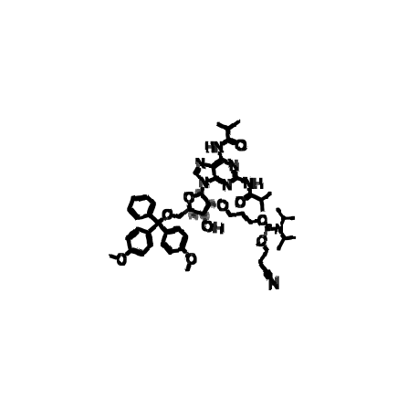 COc1ccc(C(OC[C@H]2O[C@@H](n3cnc4c(NC(=O)C(C)C)nc(NC(=O)C(C)C)nc43)[C@H](OCCCOP(OCCC#N)N(C(C)C)C(C)C)[C@@H]2O)(c2ccccc2)c2ccc(OC)cc2)cc1